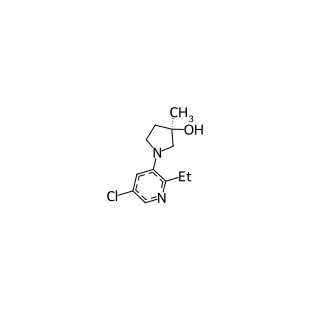 CCc1ncc(Cl)cc1N1CC[C@@](C)(O)C1